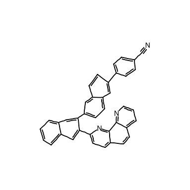 N#Cc1ccc(-c2ccc3cc(-c4cc5ccccc5cc4-c4ccc5ccc6cccnc6c5n4)ccc3c2)cc1